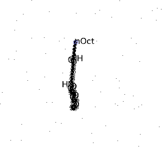 CCCCCCCC/C=C\CCCCCCCCNC(=O)OCCCCCCCCCCCCNC(=O)OC1CCN(C(=O)Oc2ccc(Oc3ccccc3)cc2)CC1